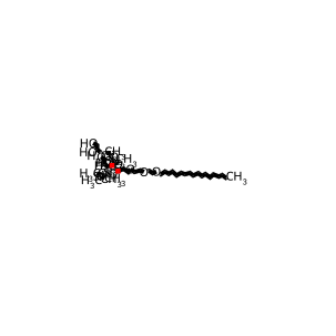 CCCCCCCCCCCCCCCCCCOCCOCCOCCC[Si](C)(O[Si](C)(C)O[Si](C)(C)C)O[Si](C)(CCCOCC(O)CO)O[Si](C)(C)C